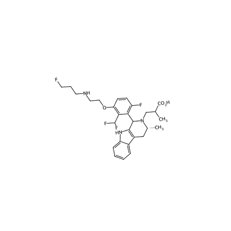 CC(CN1C(c2c(F)ccc(OCCNCCCF)c2C(F)F)c2[nH]c3ccccc3c2C[C@H]1C)C(=O)O